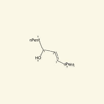 CCCCCC=CC(O)CCCCC